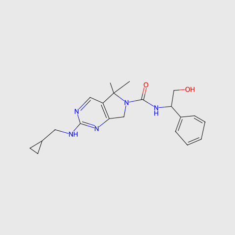 CC1(C)c2cnc(NCC3CC3)nc2CN1C(=O)NC(CO)c1ccccc1